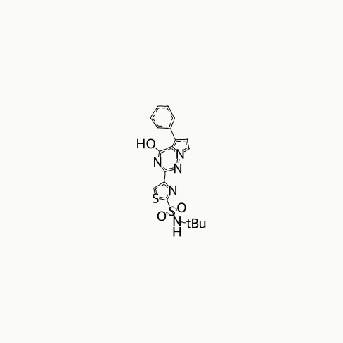 CC(C)(C)NS(=O)(=O)c1nc(-c2nc(O)c3c(-c4ccccc4)ccn3n2)cs1